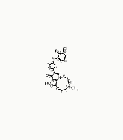 C[C@H]1CCOC(=O)c2c(O)c(=O)c(-c3ncc(Cc4cccc(Cl)c4F)s3)cn2CSN1